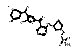 C[C@@H]1C=C(C(=O)c2cc(C(=O)c3cncnc3N[C@H]3CC[C@@H](COS(N)(=O)=O)C3)sc2Cl)C=C(Cl)C1